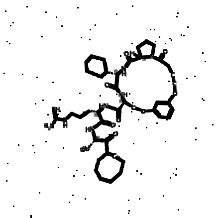 CC(C)(C)[C@H](NC(=O)[C@H](CCCNC(=N)N)NC(=O)[C@@H]1COc2cccc(c2)OCCCC(=O)N2CCC[C@H]2C(=O)N[C@@H](C2CCCCC2)C(=O)N1)C(=O)C1CCCCCCC1